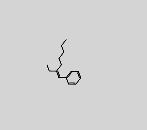 CCCCCC(=Cc1ccccc1)CC